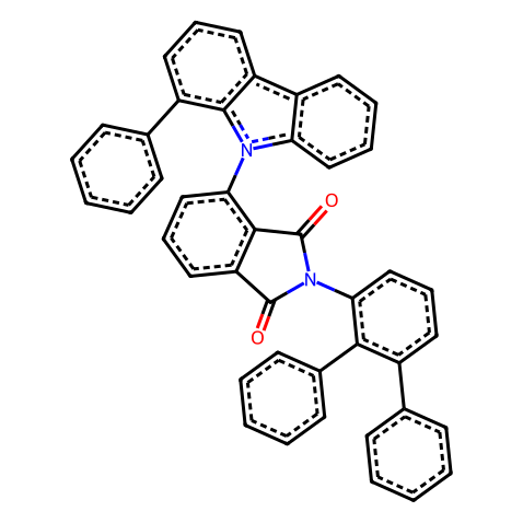 O=C1c2cccc(-n3c4ccccc4c4cccc(-c5ccccc5)c43)c2C(=O)N1c1cccc(-c2ccccc2)c1-c1ccccc1